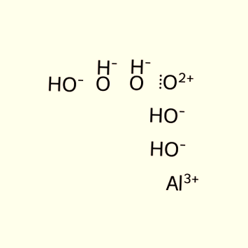 [Al+3].[O+2].[OH-].[OH-].[OH-].[OH-].[OH-]